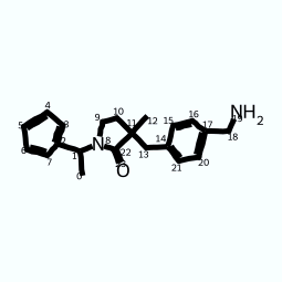 CC(c1ccccc1)N1CCC(C)(Cc2ccc(CN)cc2)C1=O